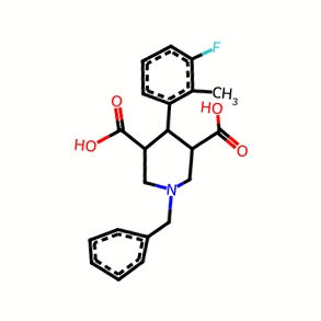 Cc1c(F)cccc1C1C(C(=O)O)CN(Cc2ccccc2)CC1C(=O)O